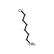 CCCCCCCCCCCl